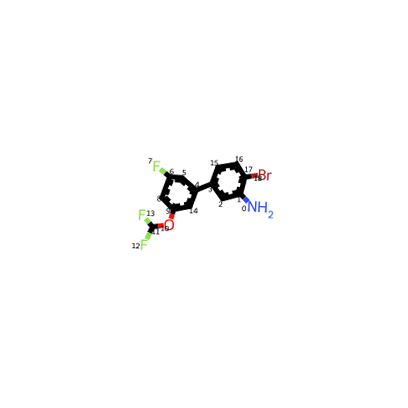 Nc1cc(-c2cc(F)cc(OC(F)F)c2)ccc1Br